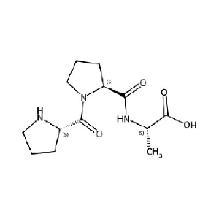 C[C@H](NC(=O)[C@@H]1CCCN1C(=O)[C@@H]1CCCN1)C(=O)O